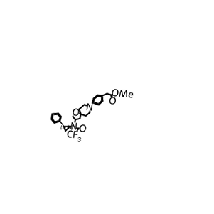 COC(=O)Cc1ccc(N2CCC3(CC2)CC(N(C(=O)C(F)(F)F)[C@@H]2C[C@H]2c2ccccc2)CO3)cc1